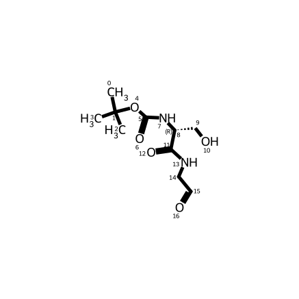 CC(C)(C)OC(=O)N[C@H](CO)C(=O)NCC=O